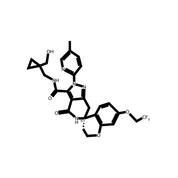 Cc1ccc(-n2nc3c(c2C(=O)NCC2(CO)CC2)C(=O)N[C@@]2(CCOc4cc(OCC(F)(F)F)ccc42)C3)nc1